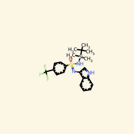 CC(C)(C)[Si](C)(C)NS(=O)(=Nc1c[nH]c2ccccc12)c1ccc(C(F)(F)F)cc1